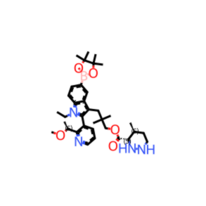 CCn1c(-c2cccnc2[C@H](C)OC)c(CC(C)(C)COC(=O)[C@H]2NNCC[C@@H]2C)c2cc(B3OC(C)(C)C(C)(C)O3)ccc21